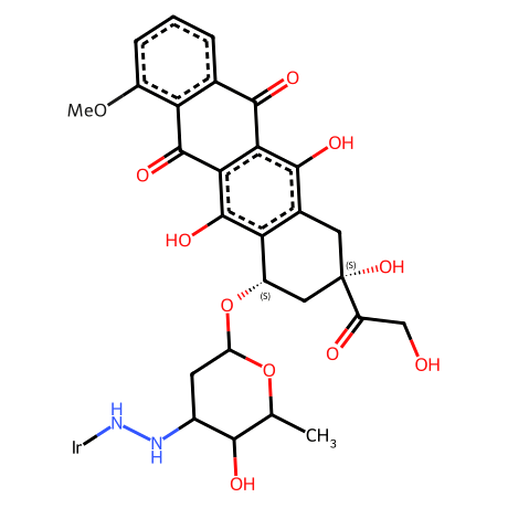 COc1cccc2c1C(=O)c1c(O)c3c(c(O)c1C2=O)C[C@@](O)(C(=O)CO)C[C@@H]3OC1CC(N[NH][Ir])C(O)C(C)O1